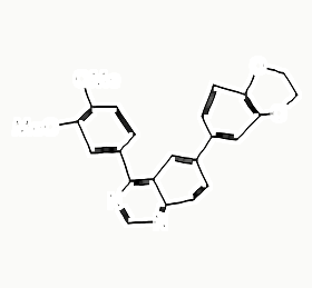 COc1ccc(-c2ncnc3ccc(-c4ccc5c(c4)OCCO5)cc23)cc1OC